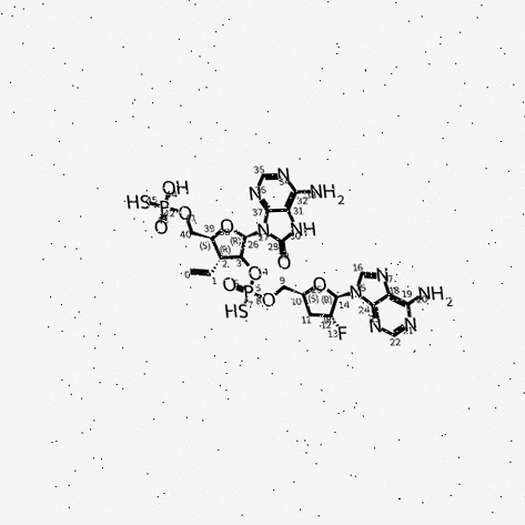 C=C[C@H]1C(OP(=O)(S)OC[C@@H]2C[C@@H](F)[C@H](n3cnc4c(N)ncnc43)O2)[C@H](n2c(=O)[nH]c3c(N)ncnc32)O[C@@H]1COP(=O)(O)S